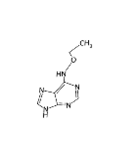 CCONc1ncnc2[nH]cnc12